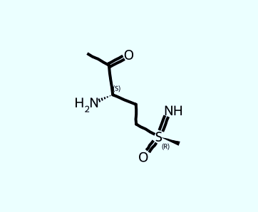 CC(=O)[C@@H](N)CC[S@](C)(=N)=O